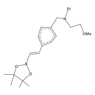 CCN(CCOC)Cc1ccc(/C=C/B2OC(C)(C)C(C)(C)O2)cc1